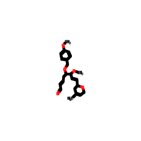 COc1ccc(COC(CC=CC=O)C(C=CC2CC(C)=CCO2)OC)cc1